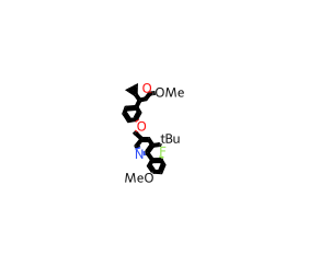 COC(=O)CC(c1cccc(OCc2cnc(-c3cc(OC)ccc3F)c(CC(C)(C)C)c2)c1)C1CC1